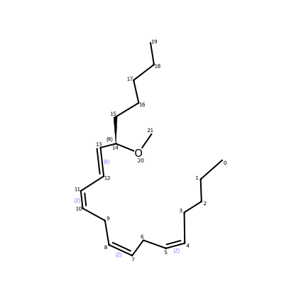 CCCC/C=C\C/C=C\C/C=C\C=C\[C@@H](CCCCC)OC